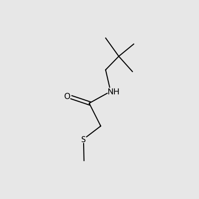 CSCC(=O)NCC(C)(C)C